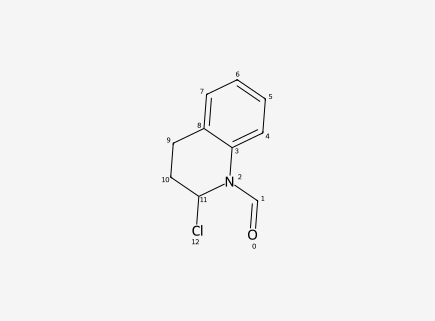 O=CN1c2ccccc2CCC1Cl